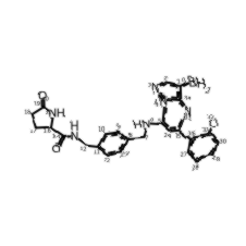 Bc1cnn2c(NCc3ccc(CNC(=O)C4CCC(=O)N4)cc3)cc(-c3ccccc3Cl)nc12